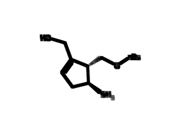 CCCCOC[C@H]1C(CO)=CC[C@@H]1[SiH3]